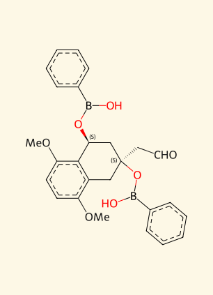 COc1ccc(OC)c2c1C[C@](CC=O)(OB(O)c1ccccc1)C[C@@H]2OB(O)c1ccccc1